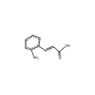 Nc1ccccc1/N=C/C(=O)O